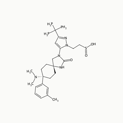 Cc1cccc([C@]2(N(C)C)CC[C@@]3(CC2)CN(c2cc(C(P)(P)P)nn2CCS(=O)O)C(=O)N3)c1